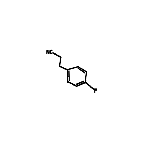 N#CCCc1ccc(F)cc1